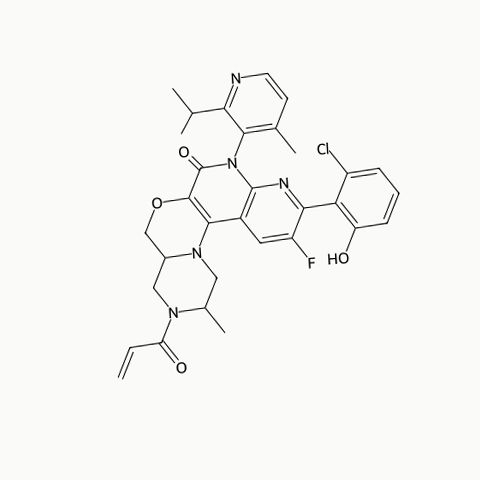 C=CC(=O)N1CC2COc3c(c4cc(F)c(-c5c(O)cccc5Cl)nc4n(-c4c(C)ccnc4C(C)C)c3=O)N2CC1C